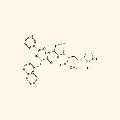 COC(=O)[C@H](CC[C@@H]1CCNC1=O)NC(=O)[C@H](CC(C)C)NC(=O)C(Cc1cccc2ccccc12)NC(=O)c1cnccn1